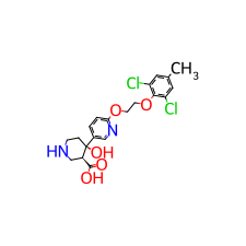 Cc1cc(Cl)c(OCCOc2ccc([C@@]3(O)CCNC[C@@H]3C(=O)O)cn2)c(Cl)c1